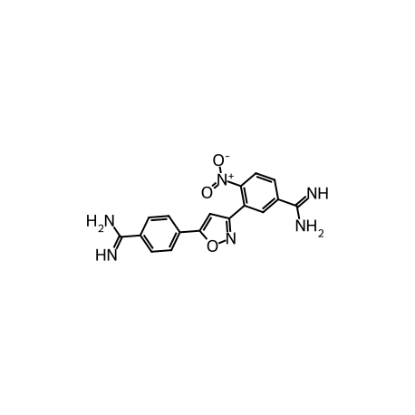 N=C(N)c1ccc(-c2cc(-c3cc(C(=N)N)ccc3[N+](=O)[O-])no2)cc1